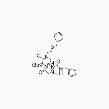 CCC(C)[C@H]1C(=O)N(CCSCc2ccccc2)C[C@H]2N1C(=O)CN(C)N2C(=O)NCc1ccccc1